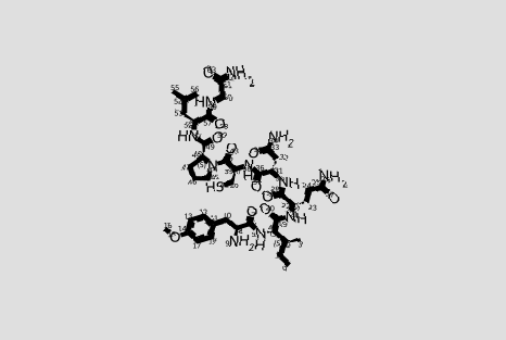 CC[C@H](C)[C@H](NC(=O)[C@@H](N)Cc1ccc(OC)cc1)C(=O)N[C@@H](CCC(N)=O)C(=O)N[C@@H](CC(N)=O)C(=O)N[C@@H](CS)C(=O)N1CCC[C@H]1C(=O)N[C@@H](CC(C)C)C(=O)NCC(N)=O